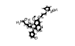 COc1cc2c(N(c3cccc(Cl)c3)c3cc(CC(N)=O)[nH]n3)ncnc2cc1OCCCN1CCC[C@@H]1CO